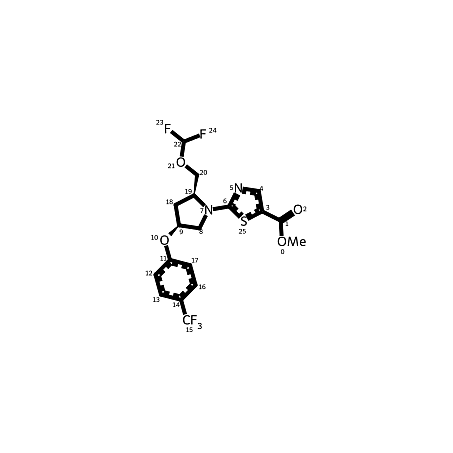 COC(=O)c1cnc(N2C[C@@H](Oc3ccc(C(F)(F)F)cc3)C[C@H]2COC(F)F)s1